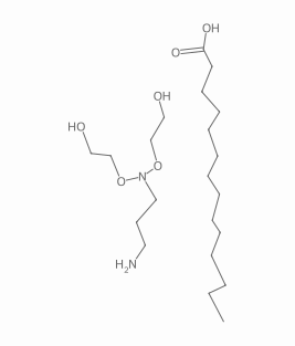 CCCCCCCCCCCCCC(=O)O.NCCCN(OCCO)OCCO